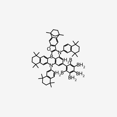 Bc1c(B)c(B)c(-c2cc3c4c(c2)N(c2ccc5c(c2)C(C)(C)CCC5(C)C)c2c(oc5cc6c(cc25)C2(C)CCC6(C)CC2)B4c2cc4c(cc2N3c2ccc3c(c2)C(C)(C)CCC3(C)C)C(C)(C)CCC4(C)C)c(B)c1B